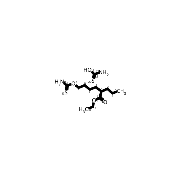 CCCC(CCCCOC(N)=S)C(=O)OCC.NC(O)=S